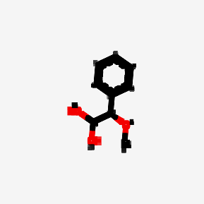 CCO[C@H](c1ccccc1)C(O)O